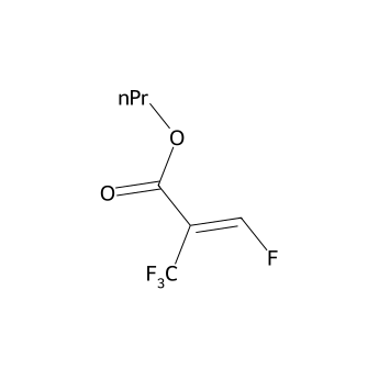 CCCOC(=O)C(=CF)C(F)(F)F